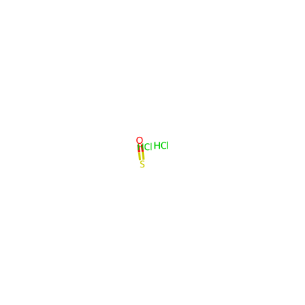 Cl.Cl.O=S